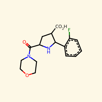 O=C(O)C1CC(C(=O)N2CCOCC2)NC1c1ccccc1F